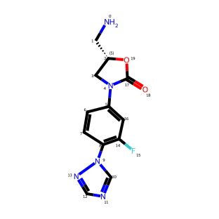 NC[C@H]1CN(c2ccc(-n3cncn3)c(F)c2)C(=O)O1